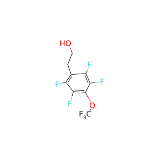 OCCc1c(F)c(F)c(OC(F)(F)F)c(F)c1F